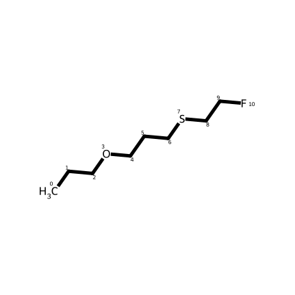 CCCOCCCSCCF